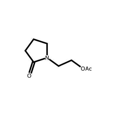 CC(=O)OCCN1CCCC1=O